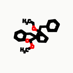 CCOC1(Cc2ccccc2)C2C=CC(C2)C1(Cc1ccccc1)C(=O)OC